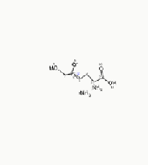 N.NC(C/C=[P+](\[O-])CO)C(=O)O